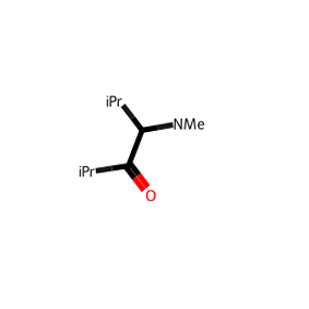 CNC(C(=O)C(C)C)C(C)C